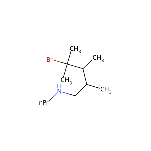 CCCNCC(C)C(C)C(C)(C)Br